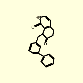 O=C1CCc2cc[nH]c(=O)c2C1Cc1cccc(-c2ccccc2)c1